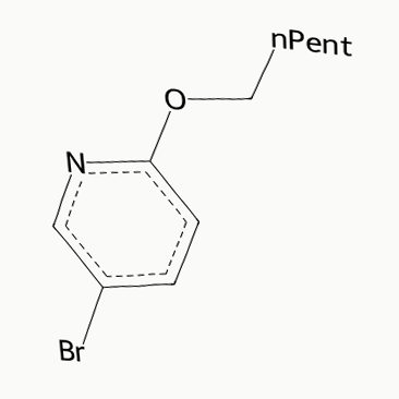 CCCCCCOc1ccc(Br)cn1